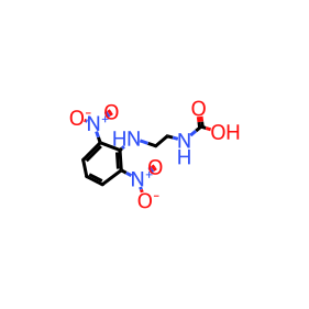 O=C(O)NCCNc1c([N+](=O)[O-])cccc1[N+](=O)[O-]